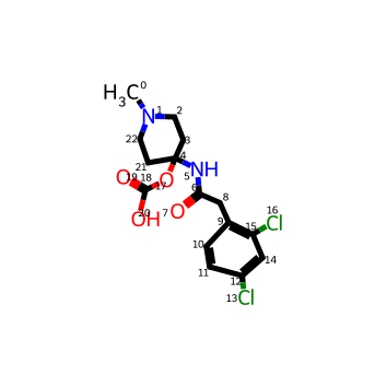 CN1CCC(NC(=O)Cc2ccc(Cl)cc2Cl)(OC(=O)O)CC1